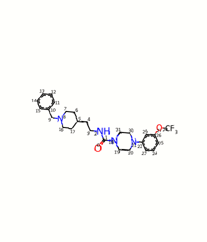 O=C(NCCC1CCN(Cc2ccccc2)CC1)N1CCN(c2cccc(OC(F)(F)F)c2)CC1